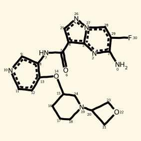 Nc1nc2c(C(=O)Nc3cnccc3OC3CCCN(C4COC4)C3)cnn2cc1F